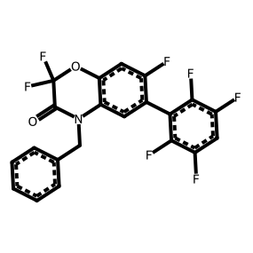 O=C1N(Cc2ccccc2)c2cc(-c3c(F)c(F)cc(F)c3F)c(F)cc2OC1(F)F